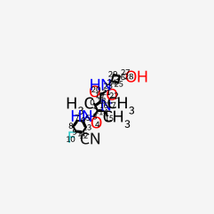 Cc1c(C(=O)Nc2ccc(F)c(C#N)c2)c(C)n(C)c1C(=O)C(=O)N[C@H]1C[C@@H](CO)C1